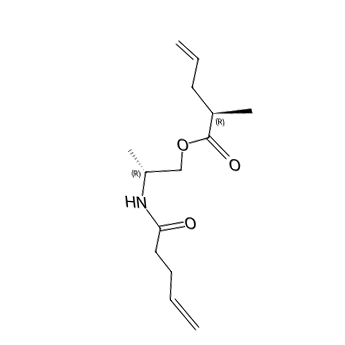 C=CCCC(=O)N[C@H](C)COC(=O)[C@H](C)CC=C